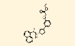 CCOC(=O)COc1cccc([C@H]2CC[C@H](NC(C)c3cccc4ccccc34)C2)c1